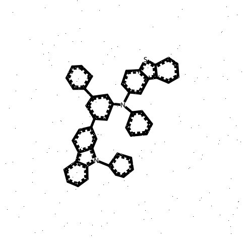 c1ccc(-c2cc(-c3ccc4c5ccccc5n(-c5ccccc5)c4c3)cc(N(c3ccccc3)c3ccc4sc5ccccc5c4c3)c2)cc1